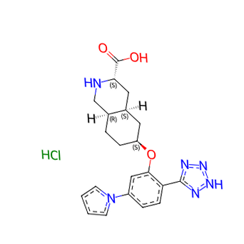 Cl.O=C(O)[C@@H]1C[C@H]2C[C@@H](Oc3cc(-n4cccc4)ccc3-c3nn[nH]n3)CC[C@H]2CN1